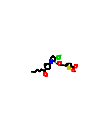 CCCCCC(=O)c1ccc(N2CC[C@@H](Cl)[C@@H]2COCc2ccc(C(=O)OC)s2)cc1